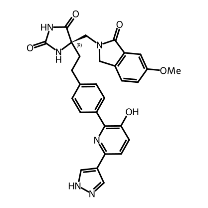 COc1ccc2c(c1)C(=O)N(C[C@@]1(CCc3ccc(-c4nc(-c5cn[nH]c5)ccc4O)cc3)NC(=O)NC1=O)C2